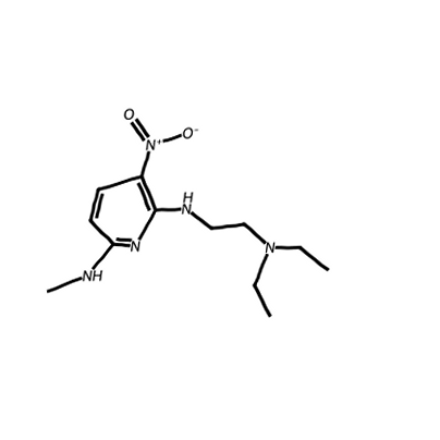 CCN(CC)CCNc1nc(NC)ccc1[N+](=O)[O-]